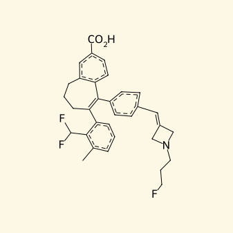 Cc1cccc(C2=C(c3ccc(C=C4CN(CCCF)C4)cc3)c3ccc(C(=O)O)cc3CCC2)c1C(F)F